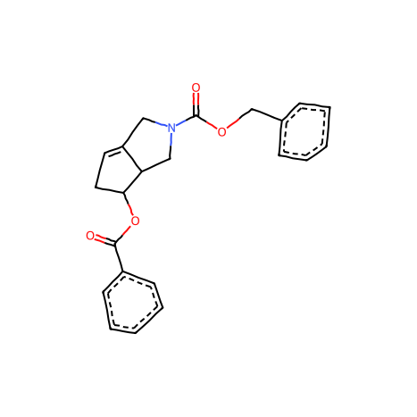 O=C(OC1CC=C2CN(C(=O)OCc3ccccc3)CC21)c1ccccc1